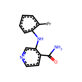 CC(C)c1ccccc1Nc1cnccc1C(N)=O